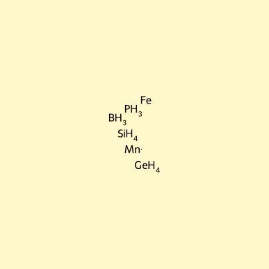 B.P.[Fe].[GeH4].[Mn].[SiH4]